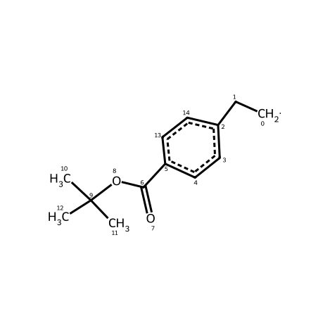 [CH2]Cc1ccc(C(=O)OC(C)(C)C)cc1